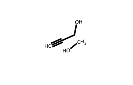 C#CCO.CO